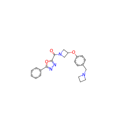 O=C(c1nnc(-c2ccccc2)o1)N1CC(Oc2ccc(CN3CCC3)cc2)C1